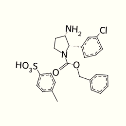 Cc1ccc(S(=O)(=O)O)cc1.N[C@H]1CCN(C(=O)OCc2ccccc2)[C@H]1c1cccc(Cl)c1